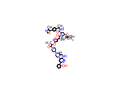 Cc1ncsc1-c1ccc([C@H](C)NC(=O)[C@@H]2CC(O[Si](C)(C)C(C)(C)C)CN2C(=O)[C@@H](c2cc(O[C@@H](C)C(=O)N3CCC(N4CCN5c6cc(-c7ccccc7O)nnc6NC[C@H]5C4)CC3)no2)C(C)C)cc1